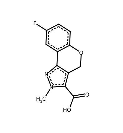 Cn1nc2c(c1C(=O)O)COc1ccc(F)cc1-2